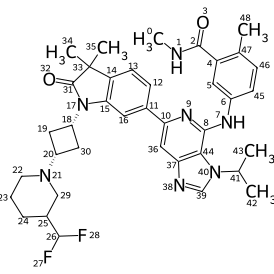 CNC(=O)c1cc(Nc2nc(-c3ccc4c(c3)N([C@H]3C[C@@H](N5CCCC(C(F)F)C5)C3)C(=O)C4(C)C)cc3ncn(C(C)C)c23)ccc1C